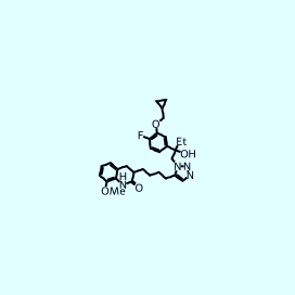 CCC(O)(Cn1nncc1CCCCC1Cc2cccc(OC)c2NC1=O)c1ccc(F)c(OCC2CC2)c1